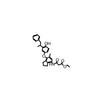 CCOC(=O)CC(=O)Nc1cc(C)c(Oc2ccc(O)c(C(C)Cc3ccccc3)c2)c2c1CCC2